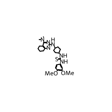 COc1ccc(NC(=S)NC2CCC(Nc3nc4c(c(N(C)C)n3)CCCC4)CC2)cc1OC